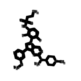 CCCS(=O)(=O)Nc1ccc(F)c(-n2cc(-c3cncc(OC)c3)c3nc(N(C)C4CCN(C)CC4)ncc32)c1F